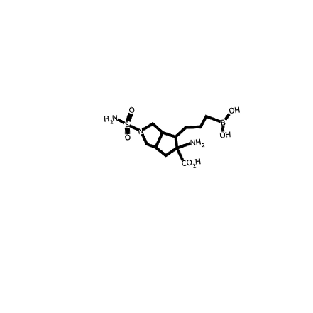 NC1(C(=O)O)CC2CN(S(N)(=O)=O)CC2C1CCCB(O)O